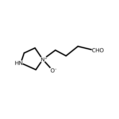 O=CCCC[N+]1([O-])CCNC1